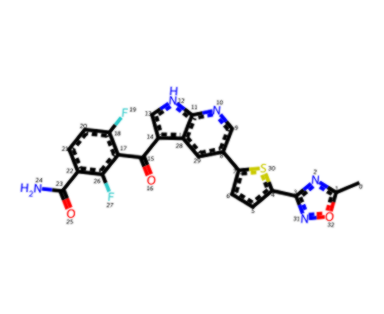 Cc1nc(-c2ccc(-c3cnc4[nH]cc(C(=O)c5c(F)ccc(C(N)=O)c5F)c4c3)s2)no1